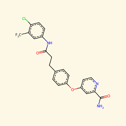 NC(=O)c1cc(Oc2ccc(CCC(=O)Nc3ccc(Cl)c(C(F)(F)F)c3)cc2)ccn1